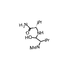 CN[C@H](C(C)C)C(O)N[C@H](C(N)=O)C(C)C